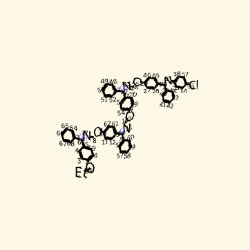 CCOc1ccc(/C(=N\COc2ccc(/C(=N\COc3ccc(/C(=N\COc4ccc(C(=Nc5ccc(Cl)cc5)c5ccccc5)cc4)c4ccccc4)cc3)c3ccccc3)cc2)c2ccccc2)cc1